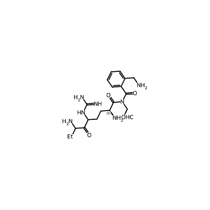 CCC(N)C(=O)C(CC[C@H](N)C(=O)N(C[C]=O)C(=O)c1ccccc1CN)NC(=N)N